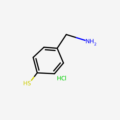 Cl.NCc1ccc(S)cc1